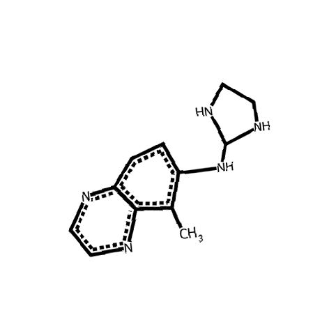 Cc1c(NC2NCCN2)ccc2nccnc12